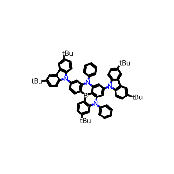 CC(C)(C)c1ccc2c(c1)N(c1ccccc1)c1cc(-n3c4ccc(C(C)(C)C)cc4c4cc(C(C)(C)C)ccc43)cc3c1B2c1ccc(-n2c4ccc(C(C)(C)C)cc4c4cc(C(C)(C)C)ccc42)cc1N3c1ccccc1